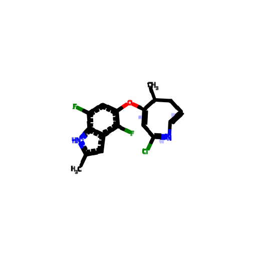 Cc1cc2c(F)c(O/C3=C/C(Cl)=N\C=C\CC3C)cc(F)c2[nH]1